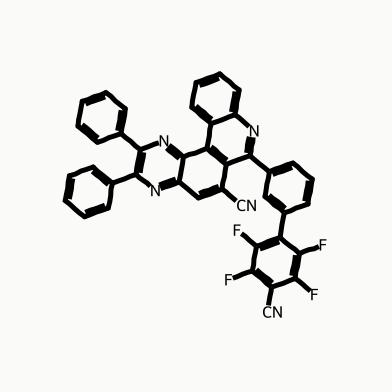 N#Cc1c(F)c(F)c(-c2cccc(-c3nc4ccccc4c4c3c(C#N)cc3nc(-c5ccccc5)c(-c5ccccc5)nc34)c2)c(F)c1F